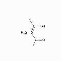 CC(=O)/C=C(/C)O.O